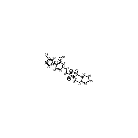 COc1cc(/C=C/S(=O)(=O)N2CCC3CCCCC3C2C)ccc1-n1cnc(C)c1